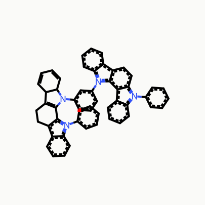 C1=CC2C3=C(c4c(c5ccccc5n4-c4ccccc4)CC3)N(c3cccc(-n4c5ccccc5c5ccc6c(c7ccccc7n6-c6ccccc6)c54)c3)C2C=C1